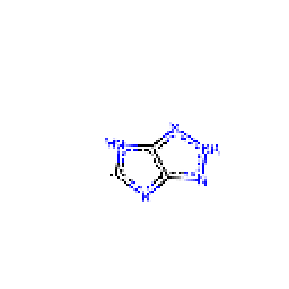 [c]1nc2n[nH]nc2[nH]1